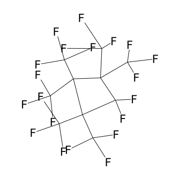 FC(F)(F)C1(C(F)(F)F)C(F)(F)C(C(F)(F)F)(C(F)(F)F)C1(C(F)(F)F)C(F)(F)F